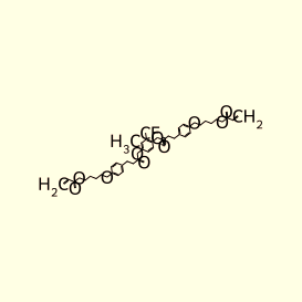 C=CC(=O)OCCCCOc1ccc(CCC(=O)Oc2ccc(OC(=O)CCc3ccc(OCCCCOC(=O)C=C)cc3)c(C(F)(F)F)c2C)cc1